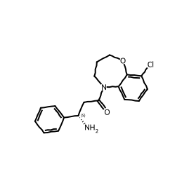 N[C@@H](CC(=O)N1CCCOc2c(Cl)cccc21)c1ccccc1